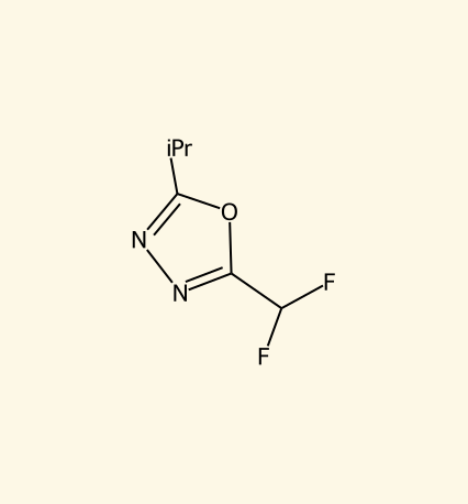 CC(C)c1nnc(C(F)F)o1